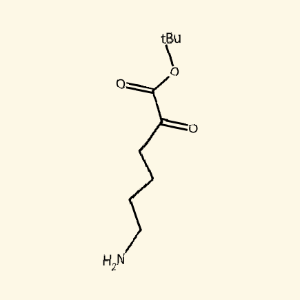 CC(C)(C)OC(=O)C(=O)CCCCN